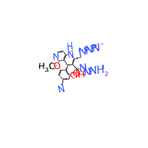 COc1nccc2c1[C@H](c1ccc(C#N)cc1O)C(C(=O)N=NN)=C(CN=[N+]=[N-])N2